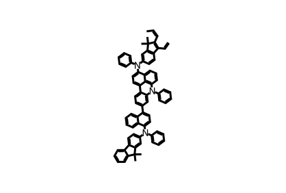 C=CC1=C(/C=C\C)C(C)(C)c2cc(N(c3ccccc3)c3ccc4c5c(cccc35)N(c3ccccc3)c3cc(-c5ccc(N(c6ccccc6)c6ccc7c(c6)C(C)(C)c6ccccc6-7)c6ccccc56)ccc3-4)ccc21